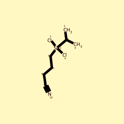 CC(C)[Si](Cl)(Cl)CCCC#N